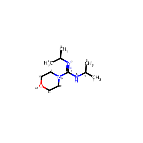 CC(C)/N=C(/NC(C)C)N1CCOCC1